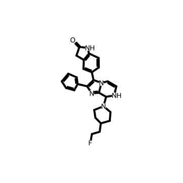 O=C1Cc2cc(-c3c(-c4ccccc4)nc4n3C=CNC4N3CCC(CCF)CC3)ccc2N1